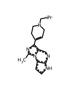 C[C](C)CN1CC=C(c2nc(C)n3c2cnc2[nH]ccc23)CC1